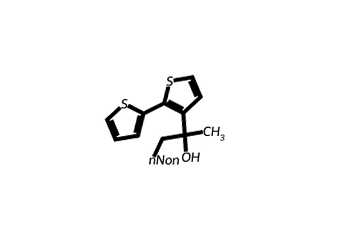 CCCCCCCCCCC(C)(O)c1ccsc1-c1cccs1